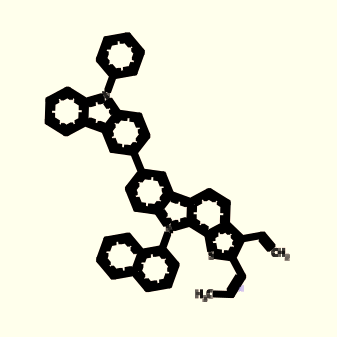 C=Cc1c(/C=C\C)sc2c1ccc1c3cc(-c4ccc5c(c4)c4ccccc4n5-c4ccccc4)ccc3n(-c3cccc4ccccc34)c12